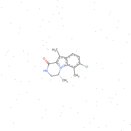 Cc1c2n(c3c(C)c(Cl)ccc13)[C@H](C)CNC2=O